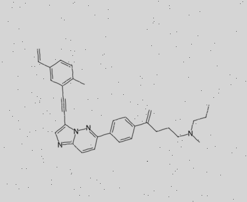 C=Cc1ccc(C)c(C#Cc2cnc3ccc(-c4ccc(C(=C)CCCN(C)CCC)cc4)nn23)c1